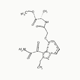 CCc1sc2cccc(OCC(=O)N[C@@H](C)C(=O)OC)c2c1C(=O)C(N)=O